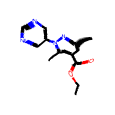 CCOC(=O)c1c(C)nn(-c2cncnc2)c1C